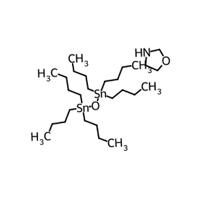 C1COCN1.CCC[CH2][Sn]([CH2]CCC)([CH2]CCC)[O][Sn]([CH2]CCC)([CH2]CCC)[CH2]CCC